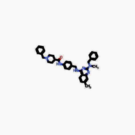 Cc1ccc2c(NCc3ccc(NC(=O)C4CCN(Cc5ccccc5)CC4)cc3)nc(N(C)Cc3ccccc3)nc2c1